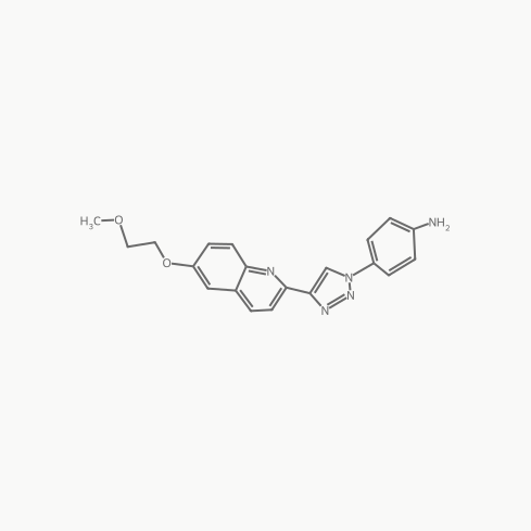 COCCOc1ccc2nc(-c3cn(-c4ccc(N)cc4)nn3)ccc2c1